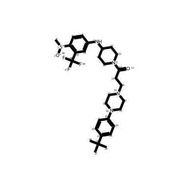 C[S+]([O-])c1ccc(NC2CCN(C(=O)CCN3CCN(c4ccc(C(C)(C)C)cc4)CC3)CC2)cc1C(F)(F)F